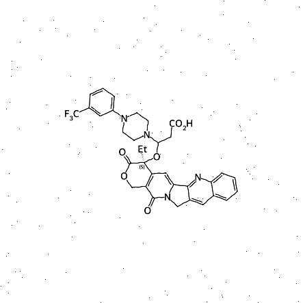 CC[C@@]1(OC(CC(=O)O)N2CCN(c3cccc(C(F)(F)F)c3)CC2)C(=O)OCc2c1cc1n(c2=O)Cc2cc3ccccc3nc2-1